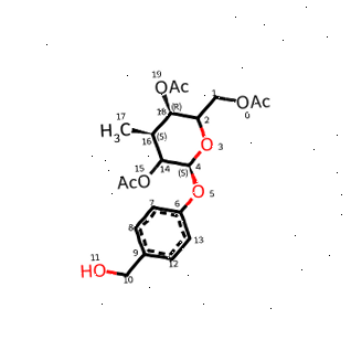 CC(=O)OCC1O[C@@H](Oc2ccc(CO)cc2)C(OC(C)=O)[C@@H](C)[C@H]1OC(C)=O